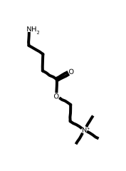 C[N+](C)(C)CCOC(=O)CCCN